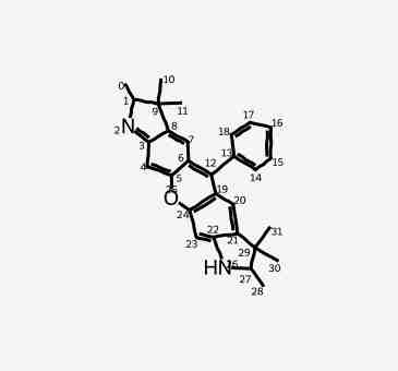 CC1N=c2cc3c(cc2C1(C)C)=C(c1ccccc1)c1cc2c(cc1O3)NC(C)C2(C)C